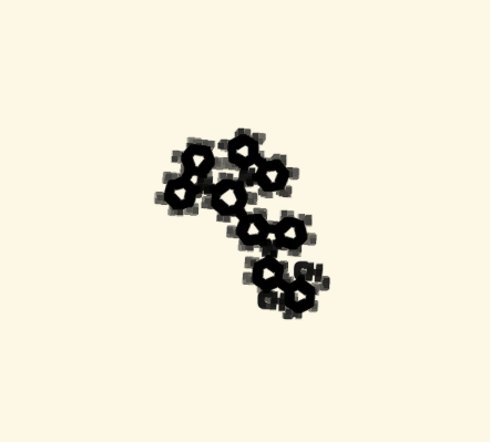 Cc1ccccc1-c1cc(-n2c3ccccc3c3cc(C4C=CC(n5c6ccccc6c6ccccc65)=CC(n5c6ccccc6c6ccccc65)=C4)ccc32)ccc1C